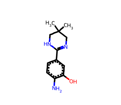 CC1(C)CN=C(c2ccc(N)c(O)c2)NC1